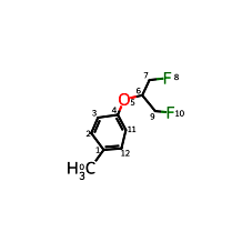 Cc1ccc(OC(CF)CF)cc1